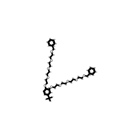 CC(C)(C)c1ccc(OCCOCCOCCOCCOCc2ccccc2)c(OCCOCCOCCOCCOCc2ccccc2)c1